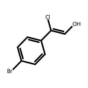 O/C=C(\Cl)c1ccc(Br)cc1